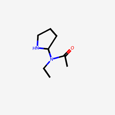 CCN(C(C)=O)C1CCCN1